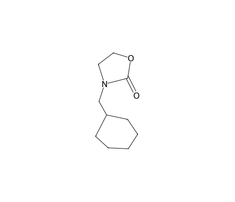 O=C1OCCN1CC1CCCCC1